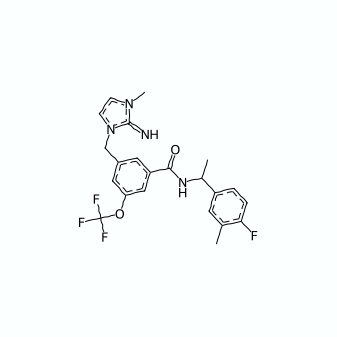 Cc1cc(C(C)NC(=O)c2cc(Cn3ccn(C)c3=N)cc(OC(F)(F)F)c2)ccc1F